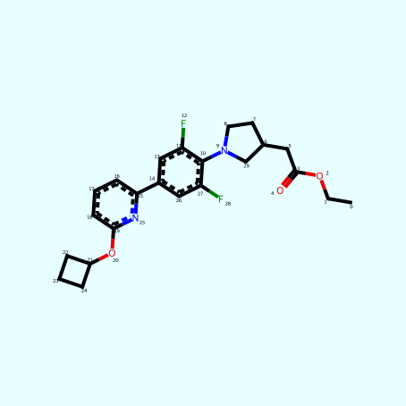 CCOC(=O)CC1CCN(c2c(F)cc(-c3cccc(OC4CCC4)n3)cc2F)C1